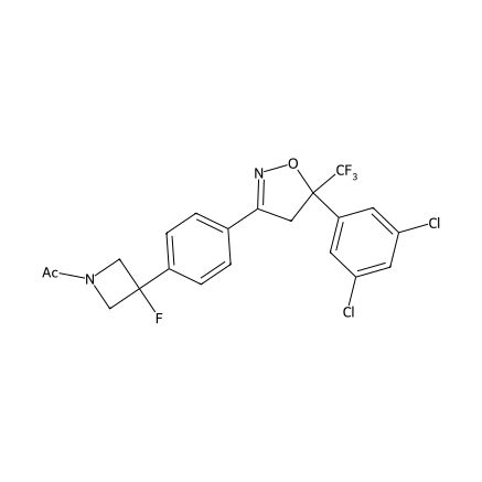 CC(=O)N1CC(F)(c2ccc(C3=NOC(c4cc(Cl)cc(Cl)c4)(C(F)(F)F)C3)cc2)C1